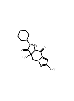 CN1C(=O)c2cc(C(=O)O)nn2CC1(C)C(=O)NC1CCCCC1